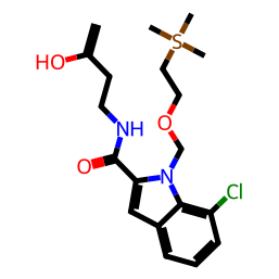 C=C(O)CCNC(=O)c1cc2cccc(Cl)c2n1COCCS(C)(C)C